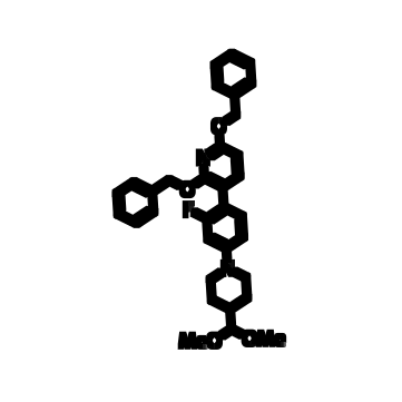 COC(OC)C1CCN(c2ccc(-c3ccc(OCc4ccccc4)nc3OCc3ccccc3)c(F)c2)CC1